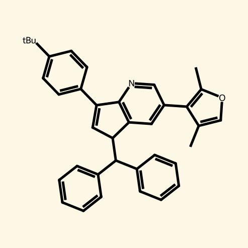 Cc1coc(C)c1-c1cnc2c(c1)C(C(c1ccccc1)c1ccccc1)C=C2c1ccc(C(C)(C)C)cc1